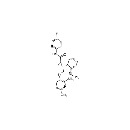 COc1ccccc1C1(COc2cnc(C)nc2C)CC1C(=O)Nc1ccc(F)cn1